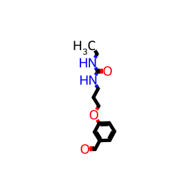 CCNC(=O)NCCCOc1cccc(C=O)c1